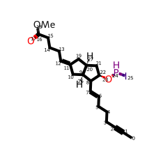 CC#CCCC/C=C/C1[C@H]2CC(=CCCCC(=O)OC)C[C@H]2C[C@H]1OPI